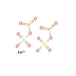 O=P(=O)OS(=O)(=O)[O-].O=P(=O)OS(=O)(=O)[O-].[Fe+2]